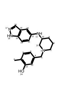 Cc1ccc(CN2CCC[C@H](Nc3ccc4[nH]ncc4c3)C2)cc1O